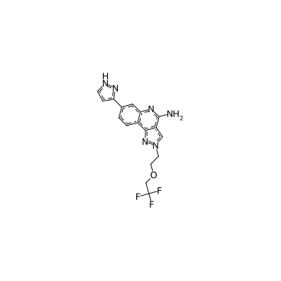 Nc1nc2cc(-c3cc[nH]n3)ccc2c2nn(CCOCC(F)(F)F)cc12